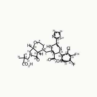 COC(=O)C1=C(CN2CCO[C@H]3CN(CC(C)(C)C(=O)O)C(=O)[C@H]32)NC(c2nccs2)=N[C@H]1c1ccc(F)c(F)c1Cl